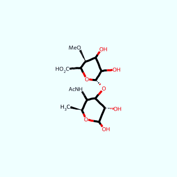 CO[C@@H]1C(C(=O)O)O[C@@H](OC2C(NC(C)=O)[C@H](C)OC(O)[C@H]2O)C(O)C1O